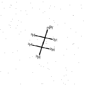 [2H]C([2H])([2H])C([2H])([2H])CCC